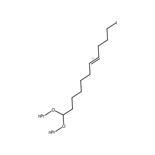 CCCOC(CCCCC/C=C/CCCI)OCCC